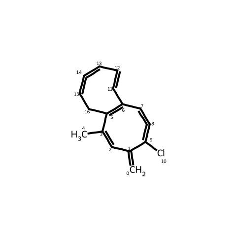 C=C1\C=C(C)/C2=C(C=C=C1Cl)/C=C/C=C=CC2